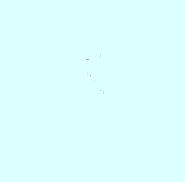 CCCCCCCCCCCCN(CCC(=O)O)[C@@H](C)C(=O)[O-].[Na+]